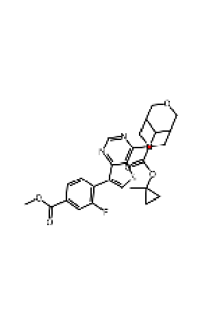 COC(=O)c1ccc(-c2csc3c(OC4C5COCC4CN(C(=O)OC4(C)CC4)C5)ncnc23)c(F)c1